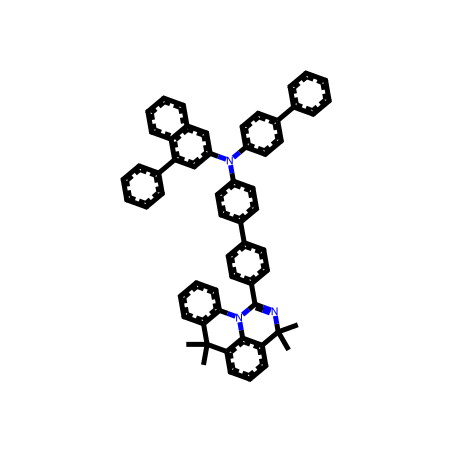 CC1(C)N=C(c2ccc(-c3ccc(N(c4ccc(-c5ccccc5)cc4)c4cc(-c5ccccc5)c5ccccc5c4)cc3)cc2)N2c3ccccc3C(C)(C)c3cccc1c32